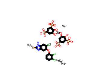 CSc1nc2cc(Oc3cccc(Cl)c3Cl)c(Cl)cc2[nH]1.O=S(=O)([O-])c1cc([O][Sb]2[O]c3cc(S(=O)(=O)[O-])cc(S(=O)(=O)[O-])c3[O]2)c([O-])c(S(=O)(=O)[O-])c1.[Na+].[Na+].[Na+].[Na+].[Na+]